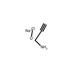 C#CCN.[Na+].[O-]Cl